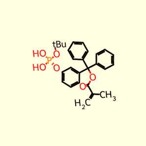 C=C(C)C(=O)OC(c1ccccc1)(c1ccccc1)c1ccccc1.CC(C)(C)OP(=O)(O)O